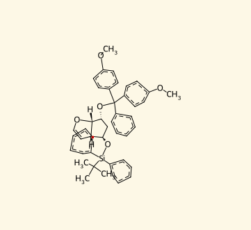 COc1ccc(C(O[C@@H]2C[C@@H](O[Si](c3ccccc3)(c3ccccc3)C(C)(C)C)[C@@H]3C=CO[C@@H]32)(c2ccccc2)c2ccc(OC)cc2)cc1